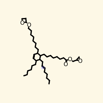 CCCCC/C=C/CC1C(CCCCCC)C=CC(CCCCCCCCOC2CCO2)C1CCCCCCCC(=O)OCC1CO1